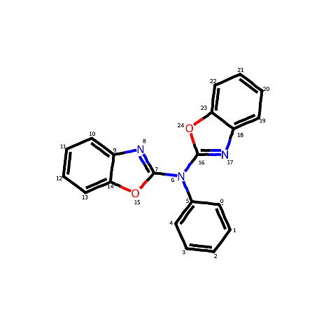 [c]1ccccc1N(c1nc2ccccc2o1)c1nc2ccccc2o1